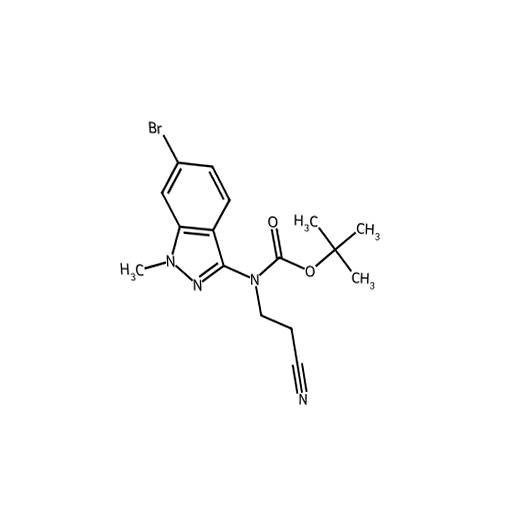 Cn1nc(N(CCC#N)C(=O)OC(C)(C)C)c2ccc(Br)cc21